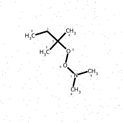 CCC(C)(C)OON(C)C